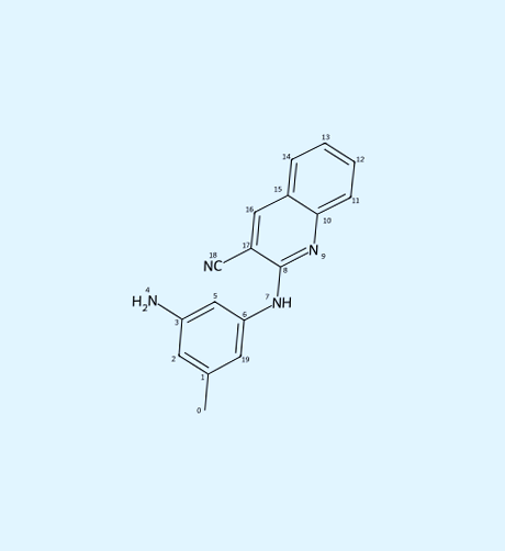 Cc1cc(N)cc(Nc2nc3ccccc3cc2C#N)c1